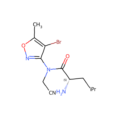 Cc1onc(N(CC#N)C(=O)[C@@H](N)CC(C)C)c1Br